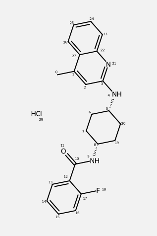 Cc1cc(N[C@H]2CC[C@@H](NC(=O)c3ccccc3F)CC2)nc2ccccc12.Cl